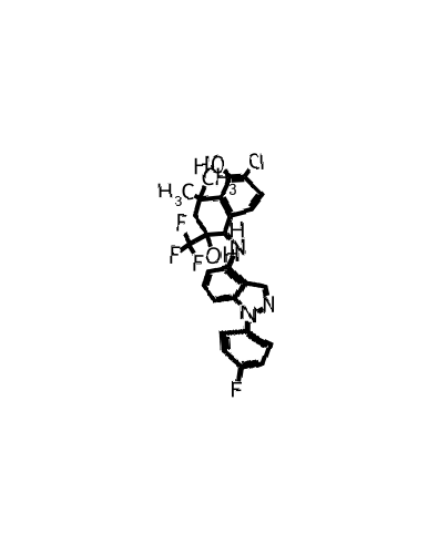 CC1(C)CC(O)(C(F)(F)F)C(Nc2cccc3c2cnn3-c2ccc(F)cc2)c2ccc(Cl)c(O)c21